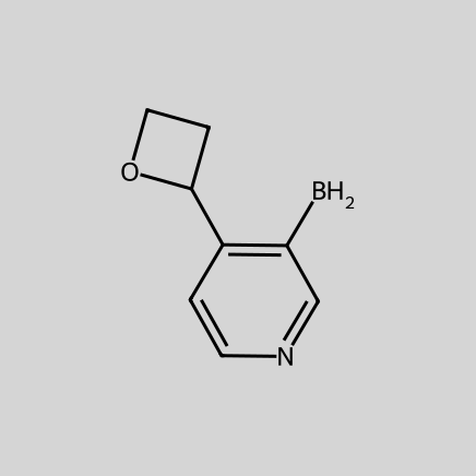 Bc1cnccc1C1CCO1